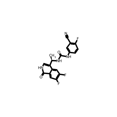 C[C@@H](NC(=O)Nc1ccc(F)c(C#N)c1)c1c[nH]c(=O)c2cc(F)c(F)cc12